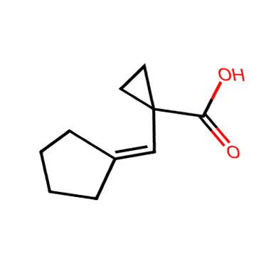 O=C(O)C1(C=C2CCCC2)CC1